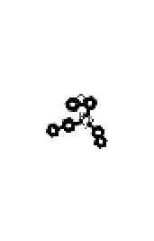 c1ccc(-c2ccc(-c3nc(-c4ccc5ccccc5c4)nc(-c4cccc5oc6ccccc6c45)n3)cc2)cc1